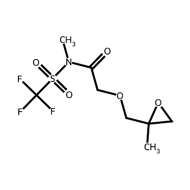 CN(C(=O)COCC1(C)CO1)S(=O)(=O)C(F)(F)F